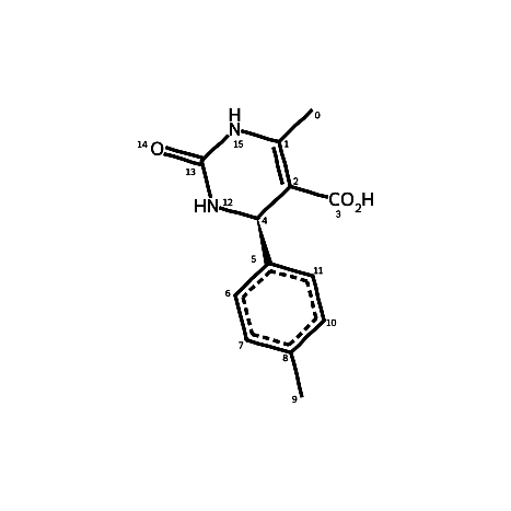 CC1=C(C(=O)O)[C@@H](c2ccc(C)cc2)NC(=O)N1